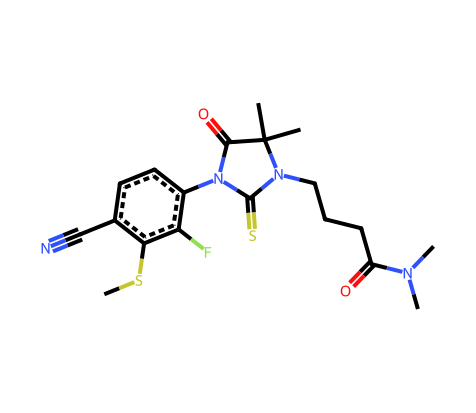 CSc1c(C#N)ccc(N2C(=O)C(C)(C)N(CCCC(=O)N(C)C)C2=S)c1F